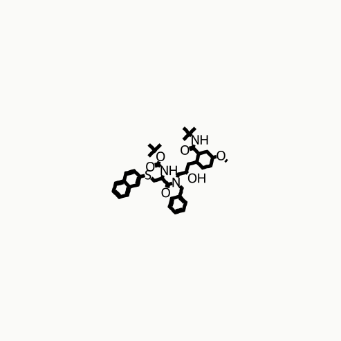 COC1CCC(CC(O)CN(Cc2ccccc2)C(=O)C(CSc2ccc3ccccc3c2)NC(=O)OC(C)(C)C)C(C(=O)NC(C)(C)C)C1